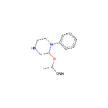 COC(C)OC1CNCCN1c1ccccc1